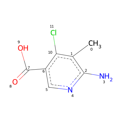 Cc1c(N)ncc(C(=O)O)c1Cl